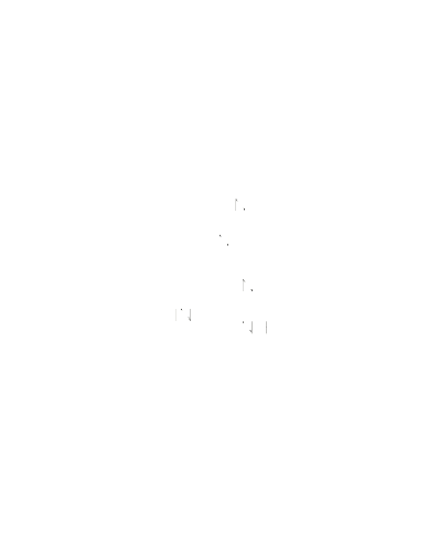 c1cc(NC2CCNC2)nc(-c2cnc3cc(C4CC4)ccn23)c1